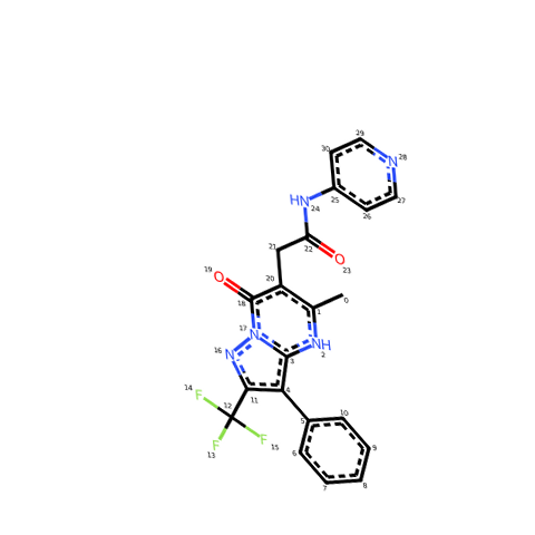 Cc1[nH]c2c(-c3ccccc3)c(C(F)(F)F)nn2c(=O)c1CC(=O)Nc1ccncc1